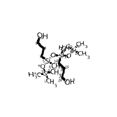 C[Si](C)(C)O[Si](C)(CCCO)O[Si](C)(CCCO)O[Si](C)(C)C